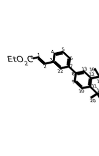 CCOC(=O)C=Cc1cccc(-c2ccc3c(c2)C(C)(C)CCC3(C)C)c1